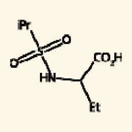 CCC(NS(=O)(=O)C(C)C)C(=O)O